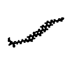 C=C(COC)C(=O)OCCCCCCOc1ccc(C(=O)OC2=CC=C(C3=CC=C(C4=CC=C(OCCCOC=O)CC4)CC3)CC2)cc1